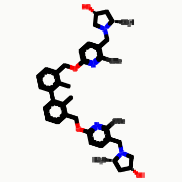 COc1nc(OCc2cccc(-c3cccc(COc4ccc(CN5C[C@H](O)C[C@@H]5C(=O)O)c(OC)n4)c3C)c2C)ccc1CN1C[C@H](O)C[C@@H]1C(=O)O